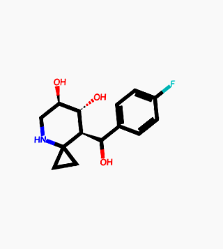 OC(c1ccc(F)cc1)[C@@H]1[C@@H](O)[C@H](O)CNC12CC2